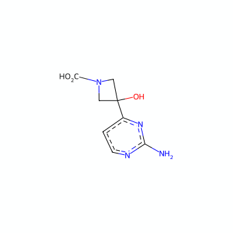 Nc1nccc(C2(O)CN(C(=O)O)C2)n1